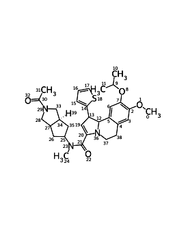 COc1cc2c(cc1OC(C)C)C1C(c3cccs3)C=C(C(=O)N(C)C3CC4CN(C(C)=O)C[C@H]4C3)N1CC2